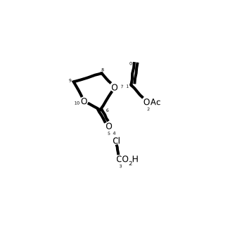 C=COC(C)=O.O=C(O)Cl.O=C1OCCO1